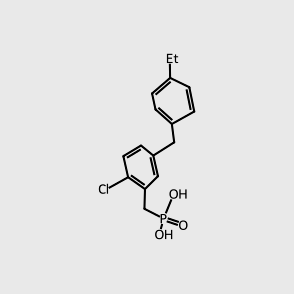 CCc1ccc(Cc2ccc(Cl)c(CP(=O)(O)O)c2)cc1